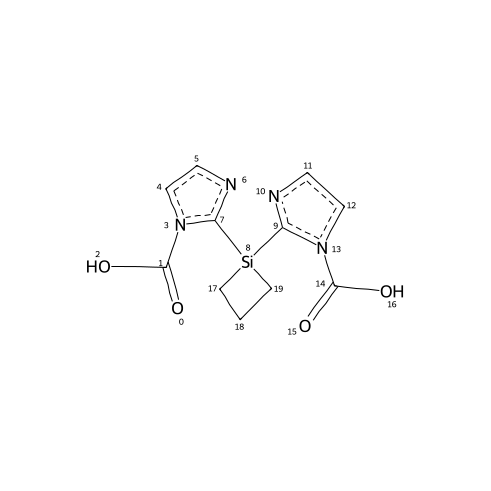 O=C(O)n1ccnc1[Si]1(c2nccn2C(=O)O)CCC1